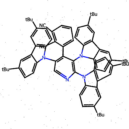 CC(C)(C)c1ccc2c(c1)c1cc(C(C)(C)C)ccc1n2-c1cnc(-n2c3ccc(C(C)(C)C)cc3c3cc(C(C)(C)C)ccc32)c(-n2c3ccc(C(C)(C)C)cc3c3cc(C(C)(C)C)ccc32)c1-c1cccc(C#N)c1C#N